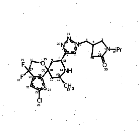 CC(C)N1CC(Cn2cc([C@@H]3C[C@]4(C[C@H](C)N3)OCC(F)(F)c3cc(Cl)sc34)nn2)CC1=O